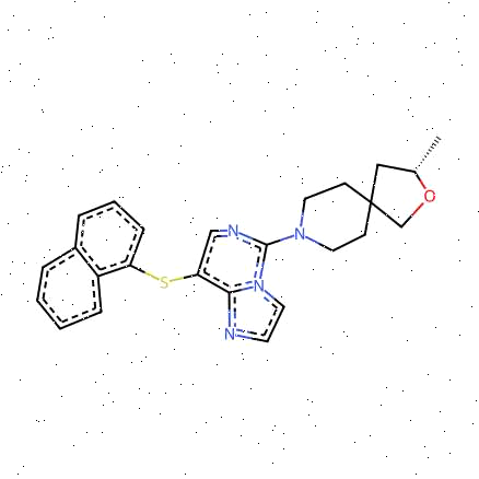 C[C@H]1CC2(CCN(c3ncc(Sc4cccc5ccccc45)c4nccn34)CC2)CO1